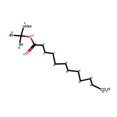 CCCCCCC(OC(=O)CCCCCCCCCCC(=O)O)(C(C)C)C(C)C